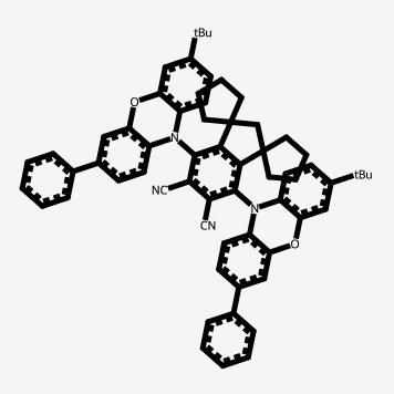 CC(C)(C)c1ccc2c(c1)Oc1cc(-c3ccccc3)ccc1N2c1c(C#N)c(C#N)c(N2c3ccc(-c4ccccc4)cc3Oc3cc(C(C)(C)C)ccc32)c2c1C1(CCCC1)CC21CCCC1